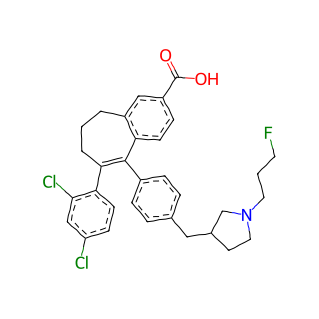 O=C(O)c1ccc2c(c1)CCCC(c1ccc(Cl)cc1Cl)=C2c1ccc(CC2CCN(CCCF)C2)cc1